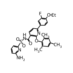 CCOc1ccc(-c2ccc(C(=O)NS(=O)(=O)c3cccc(N)n3)c(Oc3c(C)cc(C)cc3C)n2)cc1F